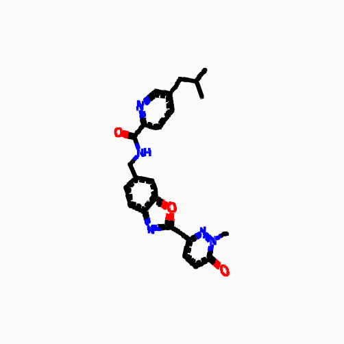 CC(C)Cc1ccc(C(=O)NCc2ccc3nc(-c4ccc(=O)n(C)n4)oc3c2)nc1